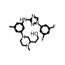 Cc1cc(Nc2ncn(-c3cc(F)cc(F)c3)n2)cc(N2CCN(C)C(CCO)C2)c1